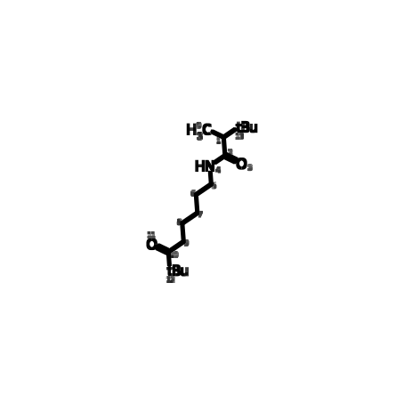 CC(C(=O)NCCCCCC(=O)C(C)(C)C)C(C)(C)C